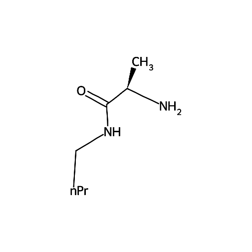 CCCCNC(=O)[C@@H](C)N